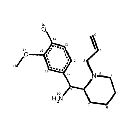 C=CCN1CCCCC1C(N)c1ccc(Cl)c(OC)c1